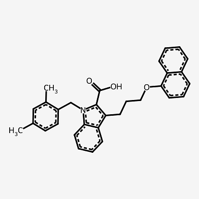 Cc1ccc(Cn2c(C(=O)O)c(CCCOc3cccc4ccccc34)c3ccccc32)c(C)c1